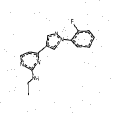 CCNc1nccc(-c2cnn(-c3ccccc3F)c2)n1